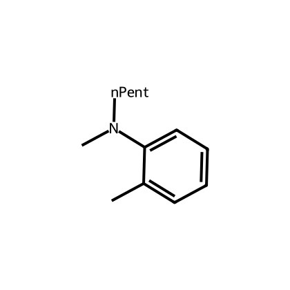 CCCCCN(C)c1ccccc1C